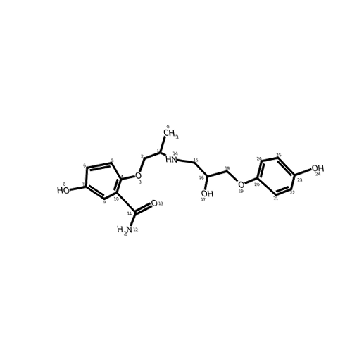 CC(COc1ccc(O)cc1C(N)=O)NCC(O)COc1ccc(O)cc1